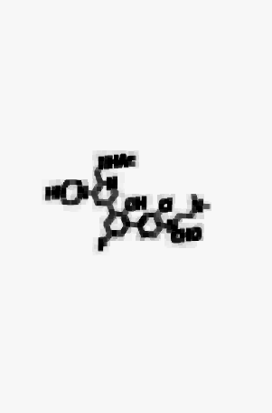 CC(=O)NCc1ncc(-c2cc(F)cc(-c3ccc(N(C=O)CCN(C)C)c(Cl)c3)c2O)cc1N1CCNCC1